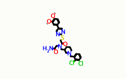 COc1ccc(-c2cnc(SCC(=O)N(CC(N)=O)CC3CCCN(Cc4cccc(Cl)c4Cl)C3)nc2)cc1OC